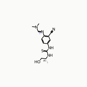 C[C@H](CO)NC(=S)Nc1ccc(/N=C/N(C)C)c(C#N)c1